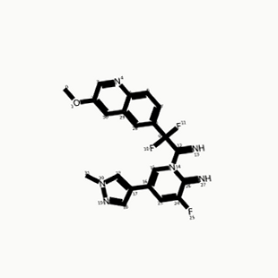 COc1cnc2ccc(C(F)(F)C(=N)n3cc(-c4cnn(C)c4)cc(F)c3=N)cc2c1